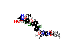 COc1cc(OC2CCc3c(-c4cccc(NC(=O)c5nc6c(n5C)CCN(C(=O)OC(C)C)C6)c4Cl)cccc32)c(Cl)c(F)c1CNC1(C(=O)O)CC1